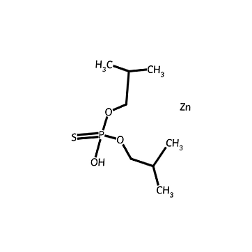 CC(C)COP(O)(=S)OCC(C)C.[Zn]